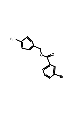 O=C(OCc1ccc(C(F)(F)F)cc1)c1cccc(Br)c1